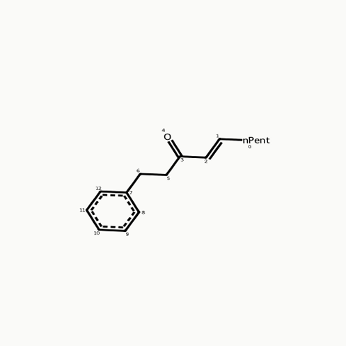 CCCCC/C=C/C(=O)CCc1ccccc1